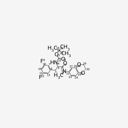 CN(C(=O)C(Cc1cc(F)cc(F)c1)NC(=O)OC(C)(C)C)c1ccc2c(c1)OCCO2